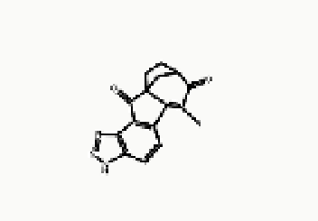 O=C1C(I)=C2c3ccc4[nH]nnc4c3C(=O)C23CCC1C3